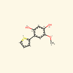 COc1cc(-c2cccs2)c(O)cc1O